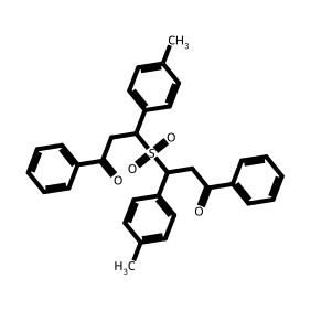 Cc1ccc(C(CC(=O)c2ccccc2)S(=O)(=O)C(CC(=O)c2ccccc2)c2ccc(C)cc2)cc1